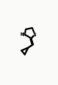 C(=C1NCCS1)C1CC1